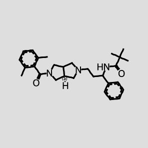 Cc1cccc(C)c1C(=O)N1CC2CN(CCC(NC(=O)C(C)(C)C)c3ccccc3)C[C@H]2C1